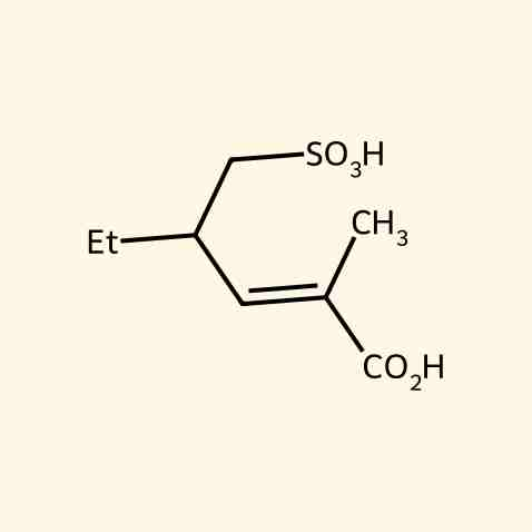 CCC(C=C(C)C(=O)O)CS(=O)(=O)O